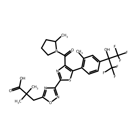 Cc1cc(C(O)(C(F)(F)F)C(F)(F)F)ccc1-c1sc(-c2noc(CC(C)(C)C(=O)O)n2)nc1C(=O)N1CCCC1C